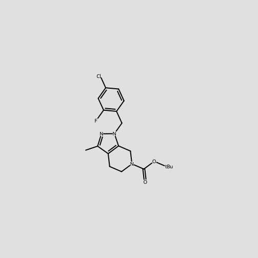 Cc1nn(Cc2ccc(Cl)cc2F)c2c1CCN(C(=O)OC(C)(C)C)C2